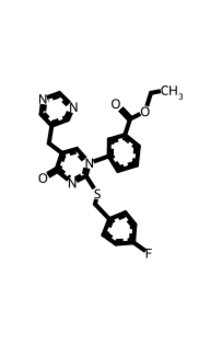 CCOC(=O)c1cccc(-n2cc(Cc3cncnc3)c(=O)nc2SCc2ccc(F)cc2)c1